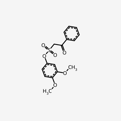 COc1ccc(OS(=O)(=O)CC(=O)c2ccccc2)cc1OC